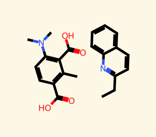 CCc1ccc2ccccc2n1.Cc1c(C(=O)O)ccc(N(C)C)c1C(=O)O